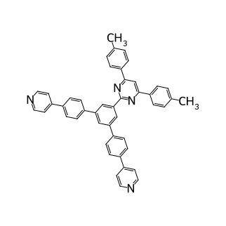 Cc1ccc(-c2cc(-c3ccc(C)cc3)nc(-c3cc(-c4ccc(-c5ccncc5)cc4)cc(-c4ccc(-c5ccncc5)cc4)c3)n2)cc1